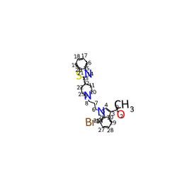 CC(=O)c1cn(CCCN2CCC(c3nc4ccccc4s3)CC2)c2c(Br)cccc12